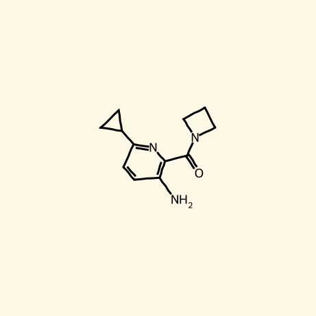 Nc1ccc(C2CC2)nc1C(=O)N1CCC1